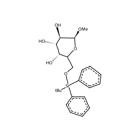 CO[C@H]1OC(CO[Si](c2ccccc2)(c2ccccc2)C(C)(C)C)[C@H](O)[C@H](O)[C@H]1O